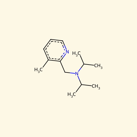 Cc1cccnc1CN(C(C)C)C(C)C